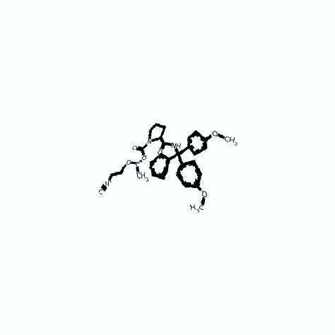 [C-]#[N+]CCOP(C)OC(=O)N1CCCC1C(=O)NC(c1ccccc1)(c1ccc(OC)cc1)c1ccc(OC)cc1